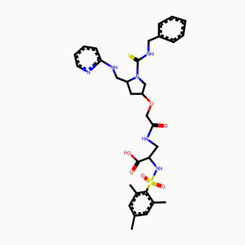 Cc1cc(C)c(S(=O)(=O)NC(CNC(=O)COC2CC(CNc3ccccn3)N(C(=S)NCc3ccccc3)C2)C(=O)O)c(C)c1